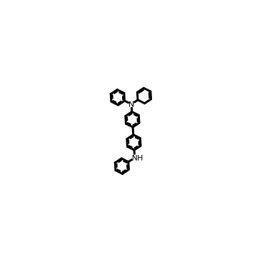 C1=CCC(N(c2ccccc2)c2ccc(-c3ccc(Nc4ccccc4)cc3)cc2)C=C1